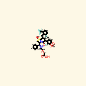 Cc1c(Cc2c(F)cccc2C(F)(F)F)c2n(c(=O)c1-c1ccc3c(c1F)OCO3)C(C(NCCOCC(=O)O)c1ccccc1)C[S+]2[O-]